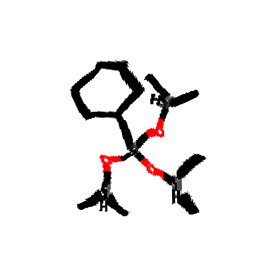 C[SiH](C)O[Si](O[SiH](C)C)(O[SiH](C)C)C1CCCCC1